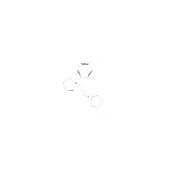 Cc1ccc(C2(CCN3CC[C@H](O)C3)CCCC2)cc1